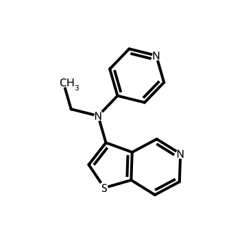 CCN(c1ccncc1)c1csc2ccncc12